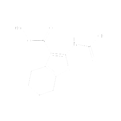 CC(C)(C)OC(=O)c1c(NC(=O)C(F)(F)F)sc2c1CCCC2